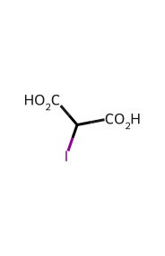 O=C(O)C(I)C(=O)O